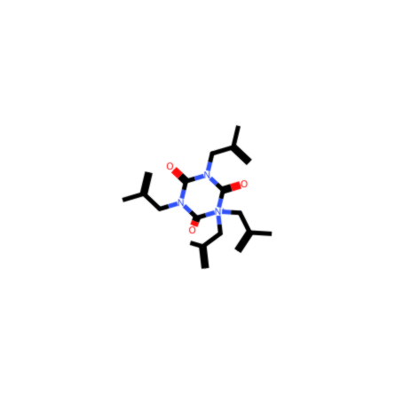 C=C(C)CN1C(=O)N(CC(=C)C)C(=O)[N+](CC(=C)C)(CC(=C)C)C1=O